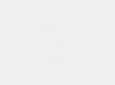 CC(O)C(C(=O)N1CCCC1)N1C(=O)C2(CCCN2)C1C